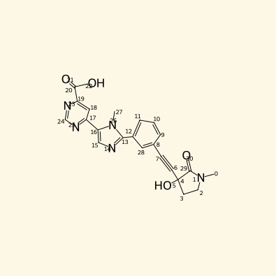 CN1CCC(O)(C#Cc2cccc(-c3ncc(-c4cc(C(=O)O)ncn4)n3C)c2)C1=O